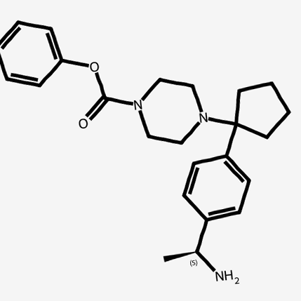 C[C@H](N)c1ccc(C2(N3CCN(C(=O)Oc4ccccc4)CC3)CCCC2)cc1